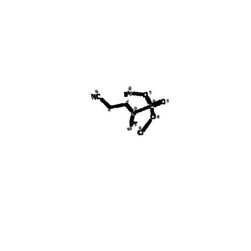 CC(C)OP(=O)(OCl)N(CCC#N)C(C)C